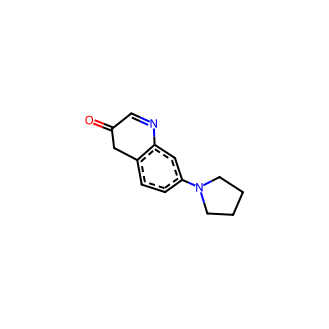 O=C1C=Nc2cc(N3CCCC3)ccc2C1